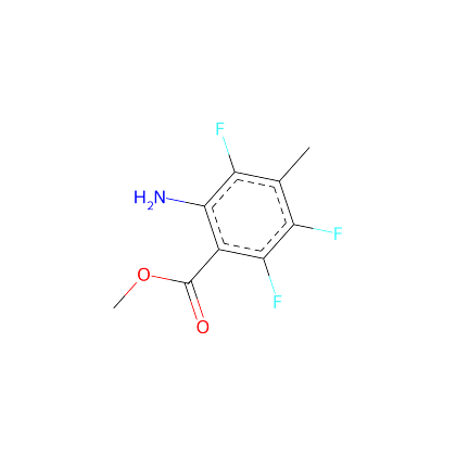 COC(=O)c1c(N)c(F)c(C)c(F)c1F